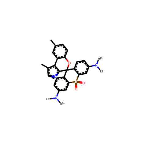 CCCN(CC)c1ccc2c(c1)S(=O)(=O)c1cc(N(CC)CCC)ccc1C21Oc2ccc(C)cc2-c2c(C)c3ccccn3c21